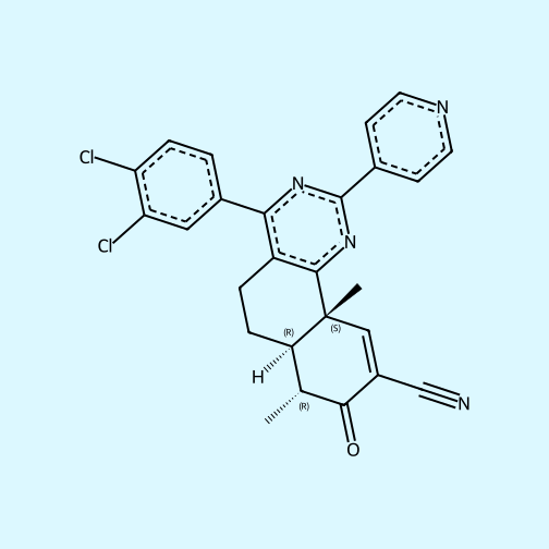 C[C@H]1C(=O)C(C#N)=C[C@@]2(C)c3nc(-c4ccncc4)nc(-c4ccc(Cl)c(Cl)c4)c3CC[C@H]12